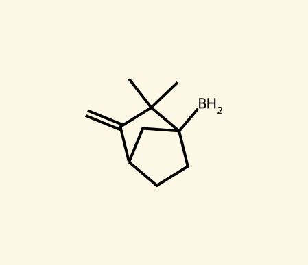 BC12CCC(C1)C(=C)C2(C)C